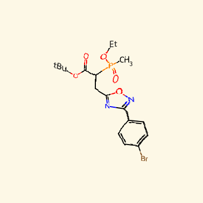 CCOP(C)(=O)C(Cc1nc(-c2ccc(Br)cc2)no1)C(=O)OC(C)(C)C